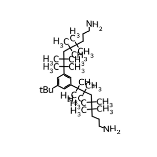 CC(C)(C)c1cc(C(C)(C)C(C)(C)CC(C)(C)C(C)(C)CCCN)cc(C(C)(C)C(C)(C)CC(C)(C)C(C)(C)CCCN)c1